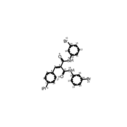 CC(C)c1ccc(C=C(C(=O)Nc2cccc(Br)c2)C(=O)Nc2cccc(Br)c2)cc1